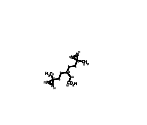 CC1(CCN(CCC2(C)N=N2)CC(=O)O)N=N1